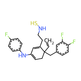 C=CC1(Cc2ccc(F)c(F)c2)CC=C(Nc2ccc(F)cc2)C=C1CCNS